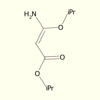 CC(C)OC(=O)C=C(N)OC(C)C